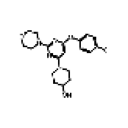 OC1CCN(c2cc(Oc3ccc(Cl)cc3)nc(N3CCOCC3)n2)CC1